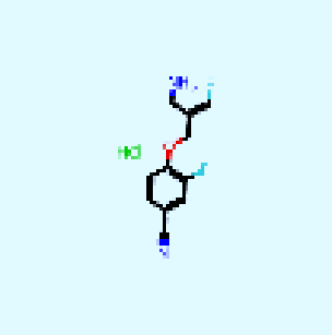 Cl.N#Cc1ccc(OC/C(=C/F)CN)c(F)c1